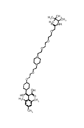 Cc1cc(C)c(/C(C(=O)O)=C(\O)C2CCC(OCCOCCN3CCN(CCOCCOCCOCC(=O)NC(C)C(C)(C)C)CC3)CC2)c(C)c1